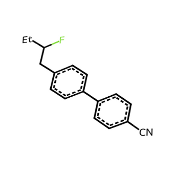 CCC(F)Cc1ccc(-c2ccc(C#N)cc2)cc1